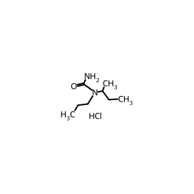 CCCN(C(N)=O)C(C)CC.Cl